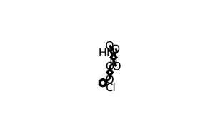 O=C1NC2(CO1)CN(C(=O)OC1CC(Oc3ccccc3Cl)C1)C2